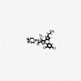 Cc1c(C(=O)NN2CCS(=O)(=O)CC2)nn(-c2ccc(Cl)cc2Cl)c1-c1ccc(CCC#N)s1